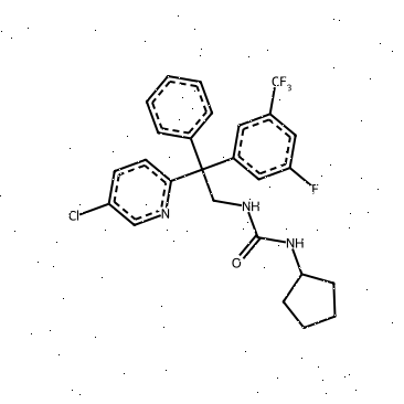 O=C(NCC(c1ccccc1)(c1cc(F)cc(C(F)(F)F)c1)c1ccc(Cl)cn1)NC1CCCC1